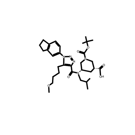 COCCCCc1c(C(=O)N(CC(C)C)[C@H]2C[C@@H](C(=O)O)CN(C(=O)OC(C)(C)C)C2)nnn1-c1ccc2c(c1)CCC2